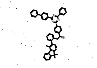 CCC(Cc1ccccc1-c1ccc2c(c1C)-c1ccccc1C2(C)C)c1ccc(-c2nc(-c3ccccc3)nc(-c3ccc(-c4ccccc4)cc3)n2)cc1